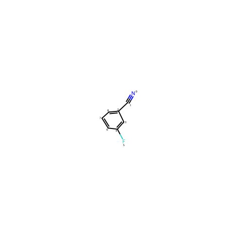 N#Cc1[c]c(F)ccc1